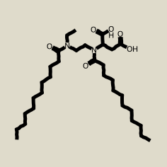 CCCCCCCCCCCC(=O)N(CC)CCN(C(=O)CCCCCCCCCCC)C(CC(=O)O)C(=O)O